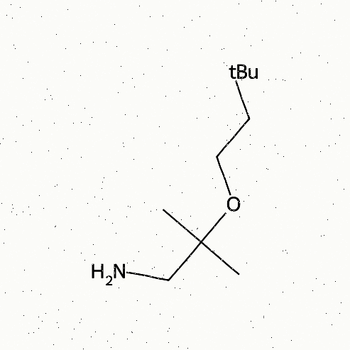 CC(C)(C)CCOC(C)(C)CN